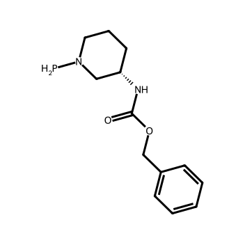 O=C(N[C@H]1CCCN(P)C1)OCc1ccccc1